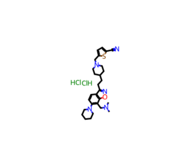 CN(C)Cc1c(N2CCCCC2)ccc2c(CCC3CCN(Cc4ccc(C#N)s4)CC3)noc12.Cl.Cl